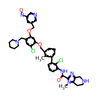 Cc1c(COc2cc(OCc3cncc(N=O)c3)c(CN3CCCCC3)cc2Cl)cccc1-c1cccc(NC(=O)c2nc3c(n2C)CCNC3)c1Cl